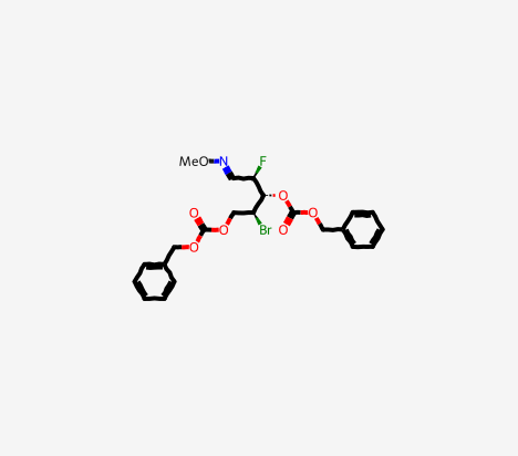 CON=C[C@@H](F)[C@H](OC(=O)OCc1ccccc1)[C@@H](Br)COC(=O)OCc1ccccc1